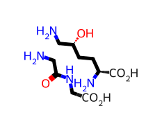 NCC(=O)NCC(=O)O.NC[C@H](O)CC[C@H](N)C(=O)O